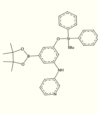 CC1(C)OB(c2cc(Nc3cccnc3)cc(O[Si](c3ccccc3)(c3ccccc3)C(C)(C)C)c2)OC1(C)C